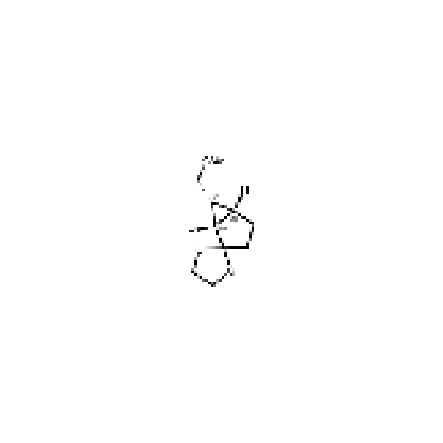 CSC[C@@H]1[C@@H]2CCC3(OCCO3)[C@H]12